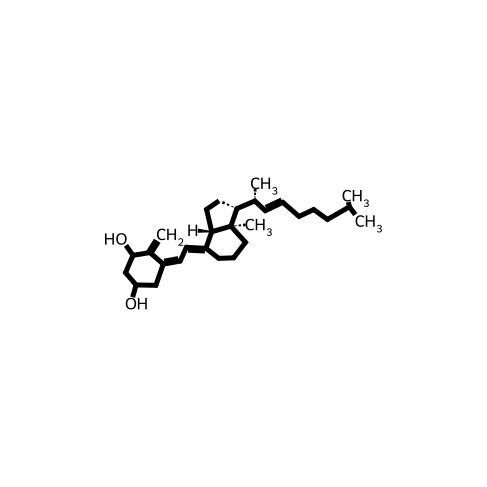 C=C1/C(=C\C=C2/CCC[C@]3(C)[C@@H]([C@H](C)/C=C/CCCC(C)C)CC[C@@H]23)CC(O)CC1O